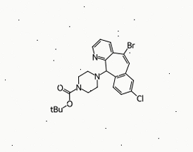 CC(C)(C)OC(=O)N1CCN(C2c3ccc(Cl)cc3C=C(Br)c3cccnc32)CC1